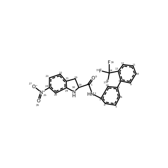 O=C(Nc1cccc(-c2ccccc2C(F)(F)F)c1)C1Cc2ccc([N+](=O)[O-])cc2N1